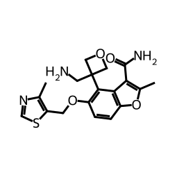 Cc1ncsc1COc1ccc2oc(C)c(C(N)=O)c2c1C1(CN)COC1